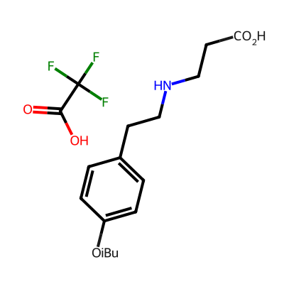 CC(C)COc1ccc(CCNCCC(=O)O)cc1.O=C(O)C(F)(F)F